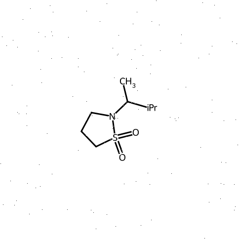 CC(C)C(C)N1CCCS1(=O)=O